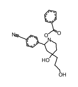 N#Cc1ccc(C2CC(O)(CCCO)CCN2OC(=O)c2ccccc2)cc1